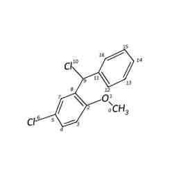 COc1ccc(Cl)cc1C(Cl)c1ccccc1